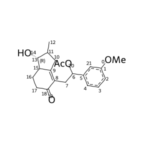 COc1cccc(C(CC2=C3CC(C)[C@@H](O)C3CCC2=O)OC(C)=O)c1